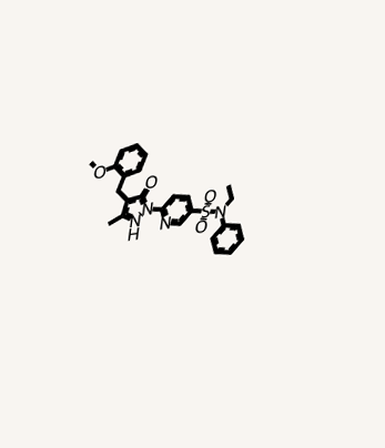 CCN(c1ccccc1)S(=O)(=O)c1ccc(-n2[nH]c(C)c(Cc3ccccc3OC)c2=O)nc1